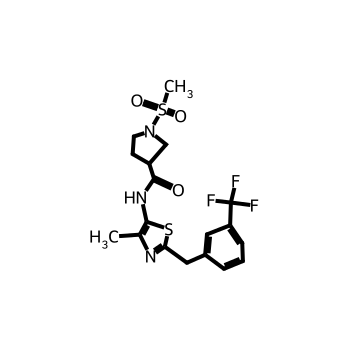 Cc1nc(Cc2cccc(C(F)(F)F)c2)sc1NC(=O)C1CCN(S(C)(=O)=O)C1